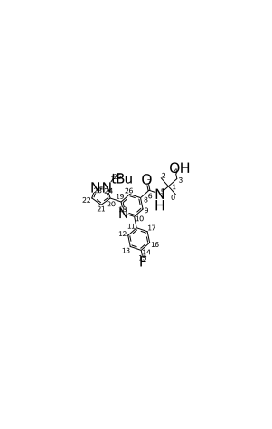 CC(C)(CO)NC(=O)c1cc(-c2ccc(F)cc2)nc(-c2ccnn2C(C)(C)C)c1